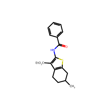 CCOC(=O)c1c(NC(=O)c2ccccc2)sc2c1CCC(C)C2